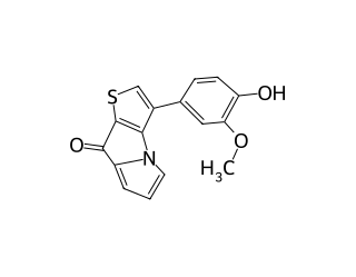 COc1cc(-c2csc3c2-n2cccc2C3=O)ccc1O